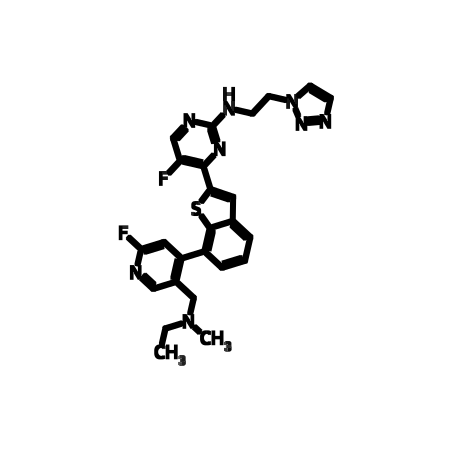 CCN(C)Cc1cnc(F)cc1-c1cccc2cc(-c3nc(NCCn4ccnn4)ncc3F)sc12